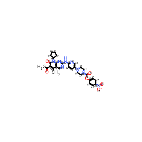 CC(=O)c1c(C)c2cnc(Nc3ccc(N4CCN(C(=O)Oc5ccc([N+](=O)[O-])cc5)CC4)cn3)nc2n(C2CCCC2)c1=O